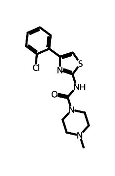 CN1CCN(C(=O)Nc2nc(-c3ccccc3Cl)cs2)CC1